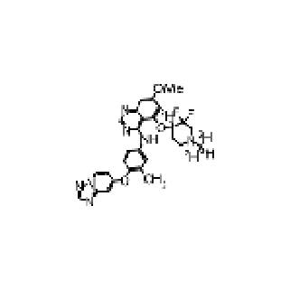 [2H]C([2H])([2H])N1CCC([2H])(Oc2cc(OC)cc3ncnc(Nc4ccc(Oc5ccn6ncnc6c5)c(C)c4)c23)C(F)(F)C1